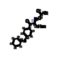 CCCCCC/C(=N\OC(=O)CC)C(=O)c1ccc(Sc2ccccc2)cc1